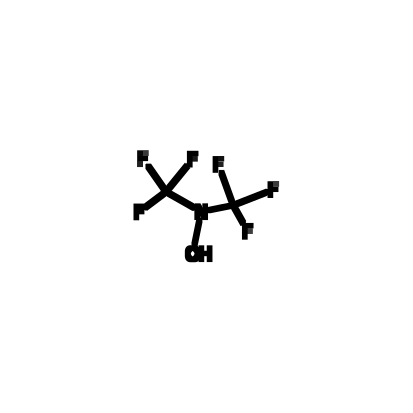 ON(C(F)(F)F)C(F)(F)F